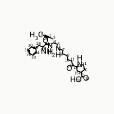 CC#CC[C@H](CNCCCCCC(=O)C1CC(C(=O)O)CCN1)NC(=O)[C@H](N)Cc1ccccc1